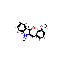 CN1/C(=C/c2cccc([N+](=O)[O-])c2)C(=O)c2ccccc21